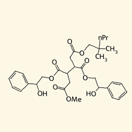 CCCC(C)(C)COC(=O)CC(C(=O)OCC(O)c1ccccc1)C(CC(=O)OC)C(=O)OCC(O)c1ccccc1